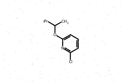 CC(C)C(C)Oc1cccc(Cl)n1